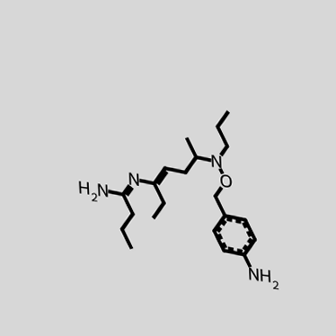 CCC/C(N)=N\C(=C\CC(C)N(CCC)OCc1ccc(N)cc1)CC